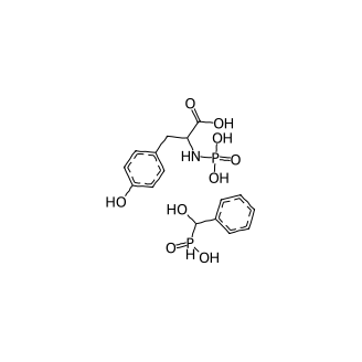 O=C(O)C(Cc1ccc(O)cc1)NP(=O)(O)O.O=[PH](O)C(O)c1ccccc1